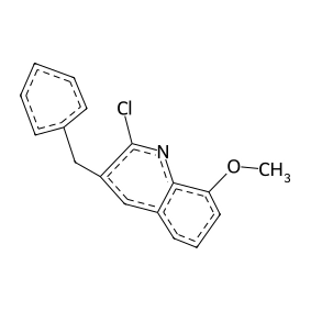 COc1cccc2cc(Cc3ccccc3)c(Cl)nc12